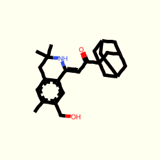 Cc1cc2c(cc1CO)/C(=C/C(=O)C13CC4CC(CC(C4)C1)C3)NC(C)(C)C2